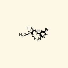 CCOC(=O)[C@H](C)NCc1cc(Br)cnc1N